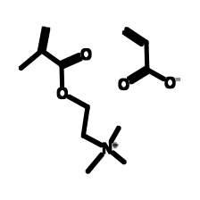 C=C(C)C(=O)OCC[N+](C)(C)C.C=CC(=O)[O-]